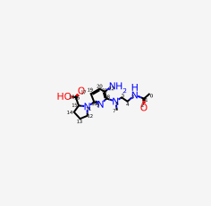 CC(=O)NCCN(C)c1nc(N2CCCC2C(=O)O)ccc1N